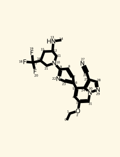 CCOc1cc(-c2ccc(N3CC(NC)CC(C(F)(F)F)C3)nc2)c2c(C#N)cnn2c1